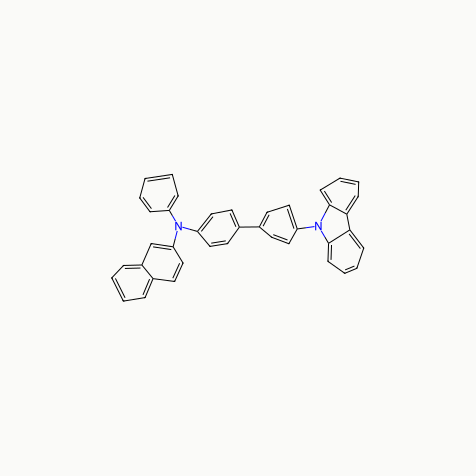 c1ccc(N(c2ccc(-c3ccc(-n4c5ccccc5c5ccccc54)cc3)cc2)c2ccc3ccccc3c2)cc1